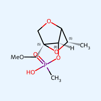 COC[C@@]12COC([C@H](C)O1)[C@H]2OP(C)(=O)O